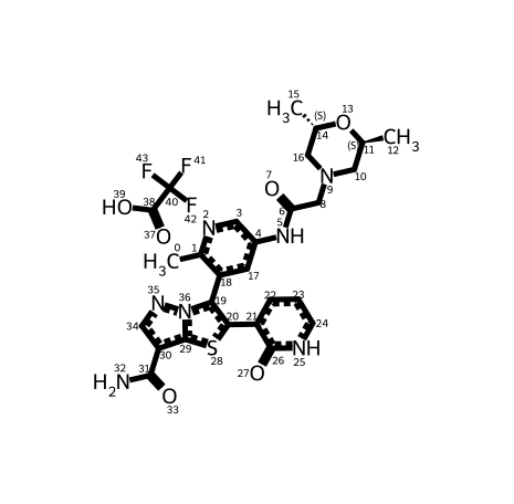 Cc1ncc(NC(=O)CN2C[C@H](C)O[C@@H](C)C2)cc1-c1c(-c2ccc[nH]c2=O)sc2c(C(N)=O)cnn12.O=C(O)C(F)(F)F